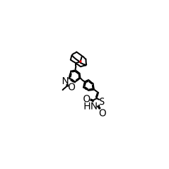 Cc1nc2cc(C34CC5CC(CC(C5)C3)C4)cc(-c3ccc(C=C4SC(=O)NC4=O)cc3)c2o1